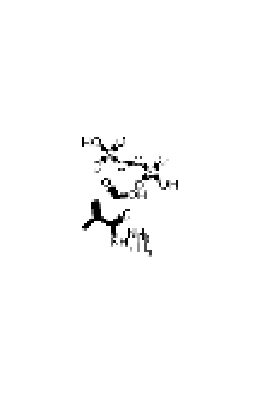 C=C(C)C(N)=O.N.N.O=CO.O=S(=O)(O)OOS(=O)(=O)O